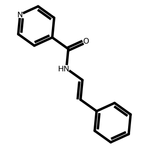 O=C(NC=Cc1ccccc1)c1ccncc1